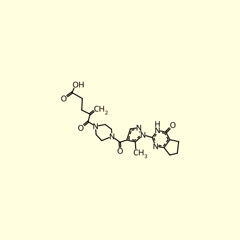 C=C(CCC(=O)O)C(=O)N1CCN(C(=O)c2cnn(-c3nc4c(c(=O)[nH]3)CCC4)c2C)CC1